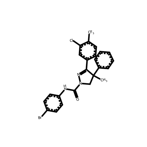 CC1(c2ccccc2)CN(C(=O)Nc2ccc(Br)cc2)N=C1c1ccc(C(F)(F)F)c(Cl)c1